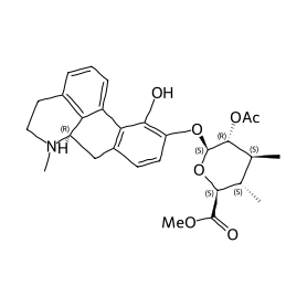 COC(=O)[C@H]1O[C@@H](Oc2ccc3c(c2O)-c2cccc4c2[C@@H](C3)N(C)CC4)[C@H](OC(C)=O)[C@@H](C)[C@@H]1C